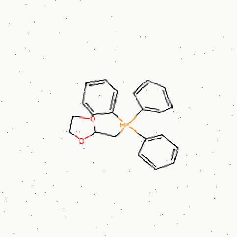 c1ccc([PH](CC2OCCO2)(c2ccccc2)c2ccccc2)cc1